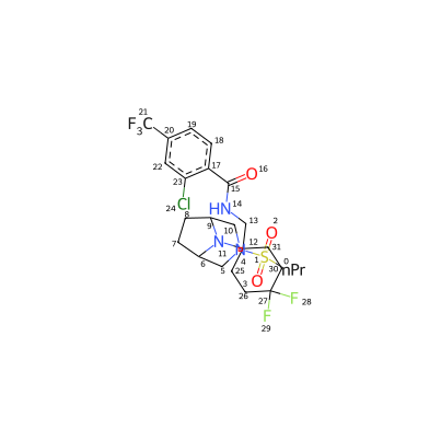 CCCS(=O)(=O)N1CC2CCC(C1)N2C1(CNC(=O)c2ccc(C(F)(F)F)cc2Cl)CCC(F)(F)CC1